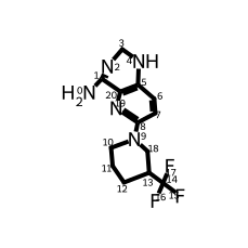 NC1=NCNc2ccc(N3CCCC(C(F)(F)F)C3)nc21